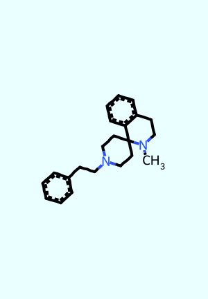 CN1CCc2ccccc2C12CCN(CCc1ccccc1)CC2